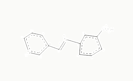 O=C(O)c1cccc(/N=C/c2cccnc2)c1